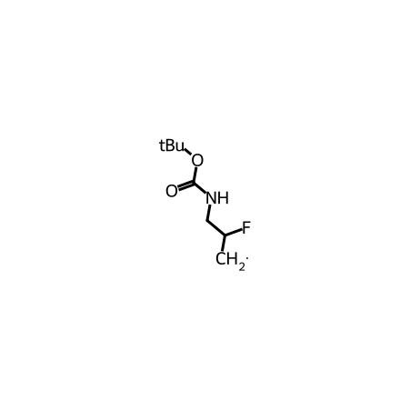 [CH2]C(F)CNC(=O)OC(C)(C)C